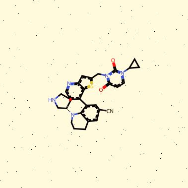 N#Cc1cc2c(c(-c3ccnc4cc(Cn5c(=O)ccn(C6CC6)c5=O)sc34)c1)N([C@H]1CCNC1)CCC2